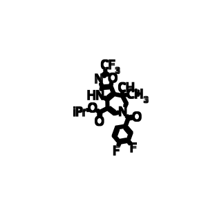 CC(C)OC(=O)C1=CN(C(=O)c2ccc(F)c(F)c2)CC(C)(C)c2c1[nH]c1nc(C(F)(F)F)oc21